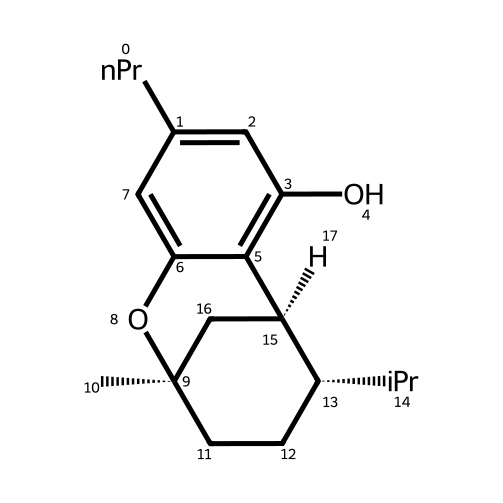 CCCc1cc(O)c2c(c1)O[C@]1(C)CC[C@@H](C(C)C)[C@H]2C1